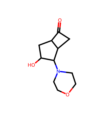 O=C1CC2C1CC(O)C2N1CCOCC1